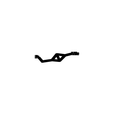 CNC1C2C(CC(C)C)C12